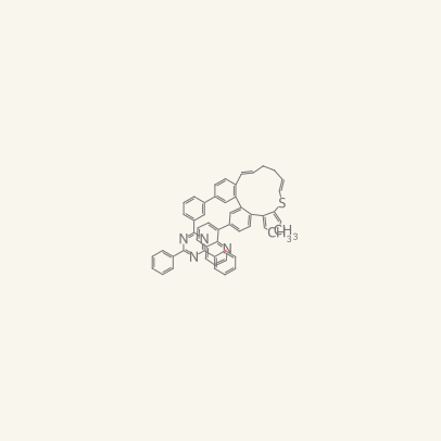 C/C=C1\C(=C/C)S/C=C/CC/C=C/c2ccc(-c3cccc(-c4nc(-c5ccccc5)nc(-c5ccccc5)n4)c3)cc2-c2cc(-c3cccc4cccnc34)ccc21